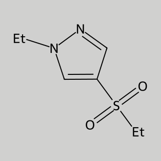 CCn1cc(S(=O)(=O)CC)cn1